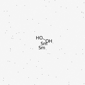 OO.[Sm].[Sm]